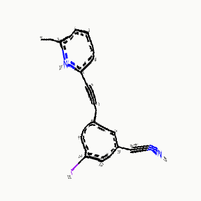 Cc1cccc(C#Cc2cc(I)cc(C#N)c2)n1